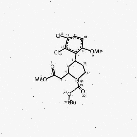 COC(=O)CC1CC(c2c(OC)ccc(Cl)c2Cl)CCN1C(=O)OC(C)(C)C